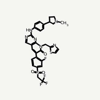 CN1CCC(c2ccc(Nc3ncc4cc(-c5ccc(S(=O)(=O)CC(F)(F)F)cc5F)c(=O)n(Cc5nccs5)c4n3)cc2)C1